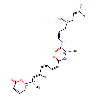 C/C(Cl)=C\C[C@H](O)C/C=C\NC(=O)[C@@H](NC(=O)\C=C/C=C\C(C)=C\[C@H](C)[C@@H]1CC=CC(=O)O1)C(C)(C)C